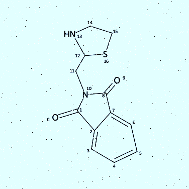 O=C1c2ccccc2C(=O)N1CC1NCCS1